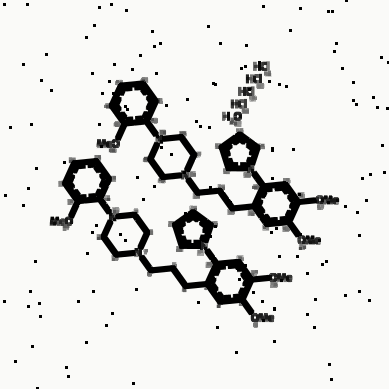 COc1cc(CCCN2CCN(c3ccccc3OC)CC2)c(-n2cccc2)cc1OC.COc1cc(CCCN2CCN(c3ccccc3OC)CC2)c(-n2cccc2)cc1OC.Cl.Cl.Cl.Cl.O